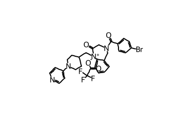 O=C(c1ccc(Br)cc1)N1CC(=O)[N+](CC2CCN(c3ccncc3)CC2)(OC(=O)C(F)(F)F)c2ccccc2C1